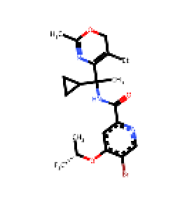 CCC1=C(C(C)(NC(=O)c2cc(O[C@@H](C)C(F)(F)F)c(Br)cn2)C2CC2)N=C(C)OC1